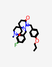 CCCOc1ccc(CN2C(=O)CCC3(CCN(C)CC3)N2Cc2ccc(F)cc2)cc1